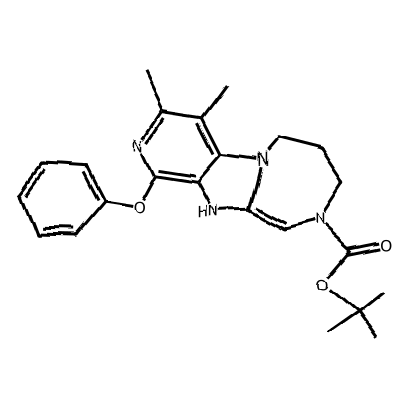 Cc1nc(Oc2ccccc2)c2c(c1C)N1CCCN(C(=O)OC(C)(C)C)C=C1N2